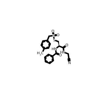 Cc1ccc(CS(=O)(=O)SC[C@H](NC(=O)c2ccccc2)C(=O)NCC#N)cc1